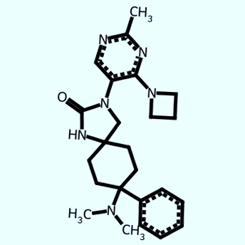 Cc1ncc(N2CC3(CCC(c4ccccc4)(N(C)C)CC3)NC2=O)c(N2CCC2)n1